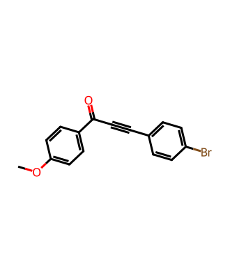 COc1ccc(C(=O)C#Cc2ccc(Br)cc2)cc1